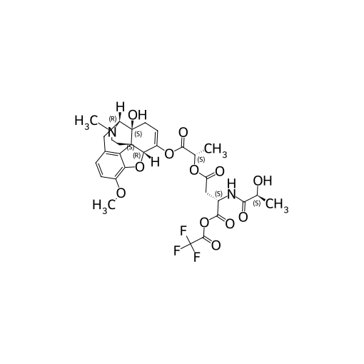 COc1ccc2c3c1O[C@H]1C(OC(=O)[C@H](C)OC(=O)C[C@H](NC(=O)[C@H](C)O)C(=O)OC(=O)C(F)(F)F)=CC[C@@]4(O)[C@@H](C2)N(C)CC[C@]314